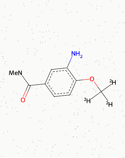 [2H]C([2H])([2H])Oc1ccc(C(=O)NC)cc1N